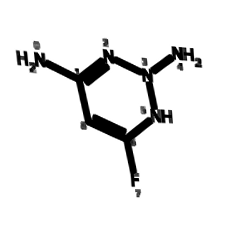 NC1=NN(N)NC(F)=C1